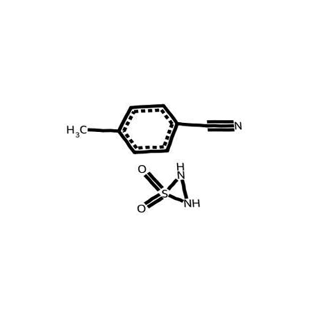 Cc1ccc(C#N)cc1.O=S1(=O)NN1